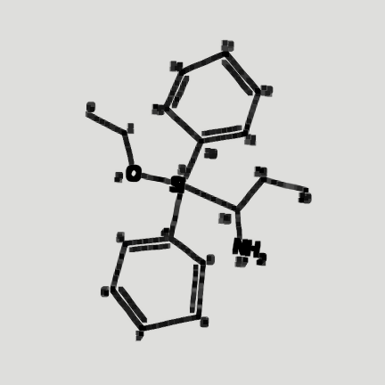 CCO[Si](c1ccccc1)(c1ccccc1)C(N)CC